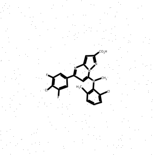 Cc1cccc(Cl)c1N(C)c1cc(-c2cc(F)c(Cl)c(F)c2)nc2cc(C(=O)O)nn12